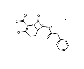 O=C(Cc1ccccc1)N[C@@H]1C(=O)N2C(C(=O)O)=C(Cl)CCC12